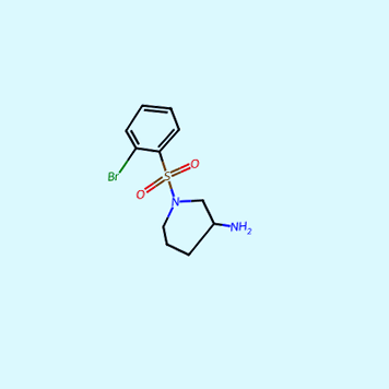 NC1CCCN(S(=O)(=O)c2ccccc2Br)C1